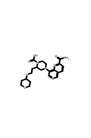 NC(=O)c1ccc2cncc(N3CCN(C(=O)O)C(CCOC4CCOCC4)C3)c2n1